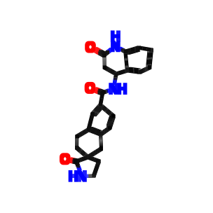 O=C1CC(NC(=O)c2ccc3c(c2)CCC2(CCNC2=O)C3)c2ccccc2N1